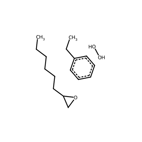 CCCCCCC1CO1.CCc1ccccc1.OO